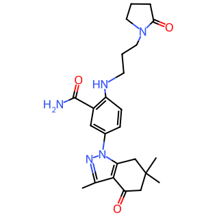 Cc1nn(-c2ccc(NCCCN3CCCC3=O)c(C(N)=O)c2)c2c1C(=O)CC(C)(C)C2